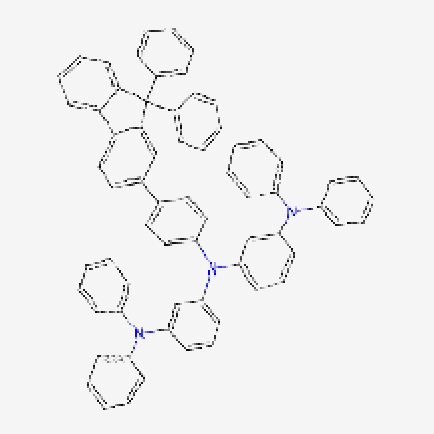 c1ccc(N(c2ccccc2)c2cccc(N(c3ccc(-c4ccc5c(c4)C(c4ccccc4)(c4ccccc4)c4ccccc4-5)cc3)c3cccc(N(c4ccccc4)c4ccccc4)c3)c2)cc1